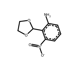 Nc1cccc([N+](=O)[O-])c1C1OCCO1